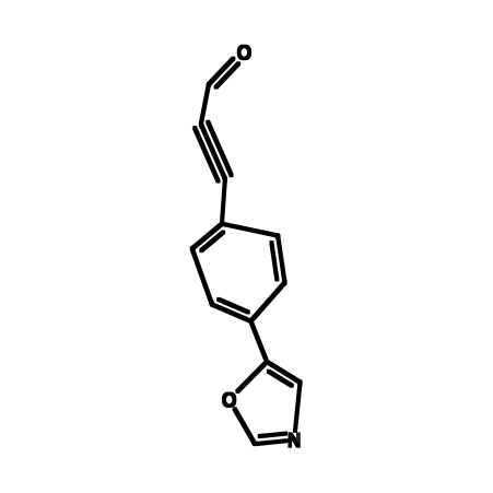 O=CC#Cc1ccc(-c2cnco2)cc1